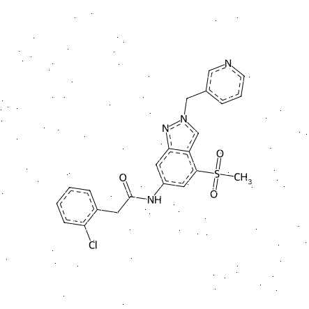 CS(=O)(=O)c1cc(NC(=O)Cc2ccccc2Cl)cc2nn(Cc3cccnc3)cc12